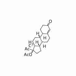 CC(=O)O[C@]1(C(C)=O)CC[C@H]2[C@@H]3CCC4=CC(=O)CC[C@@H]4[C@H]3CC[C@@]21C